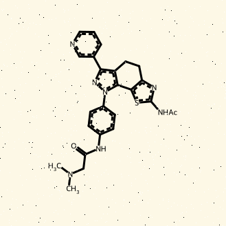 CC(=O)Nc1nc2c(s1)-c1c(c(-c3cccnc3)nn1-c1ccc(NC(=O)CN(C)C)cc1)CC2